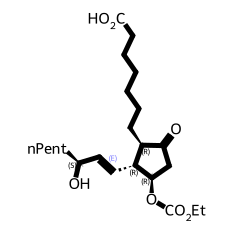 CCCCC[C@H](O)/C=C/[C@H]1[C@H](OC(=O)OCC)CC(=O)[C@@H]1CCCCCCC(=O)O